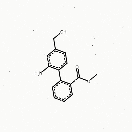 COC(=O)c1ccccc1-c1ccc(CO)cc1N